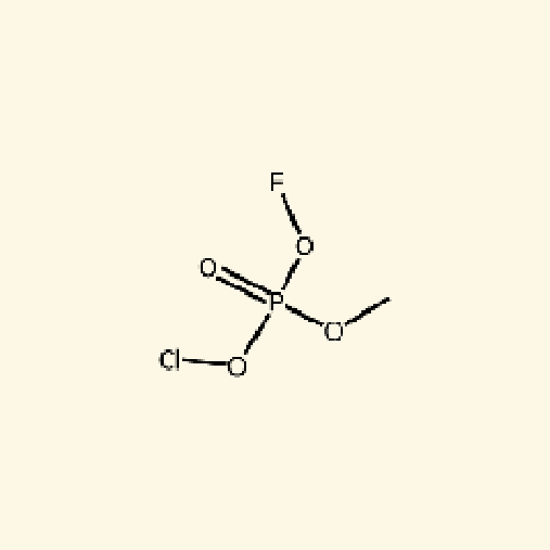 COP(=O)(OF)OCl